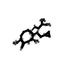 CC(C)CC[C@H]1CCC[C@H](N)C(=O)O[C@@H](C)[C@@H]1OCC1CC1